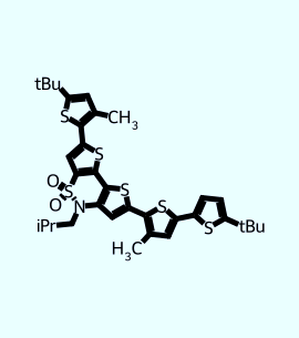 Cc1cc(-c2ccc(C(C)(C)C)s2)sc1-c1cc2c(s1)-c1sc(-c3sc(C(C)(C)C)cc3C)cc1S(=O)(=O)N2CC(C)C